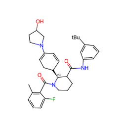 Cc1cccc(F)c1C(=O)N1CCCC(C(=O)Nc2cccc(C(C)(C)C)c2)[C@@H]1C1C=CC(N2CCC(O)C2)=CC1